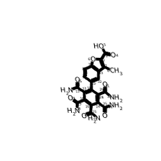 Cc1c(C(=O)O)oc2ccc(-c3c(C(N)=O)c(C(N)=O)c(C(N)=O)c(C(N)=O)c3C(N)=O)cc12